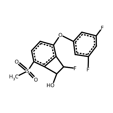 CS(=O)(=O)c1ccc(Oc2cc(F)cc(F)c2)c2c1C(O)C2F